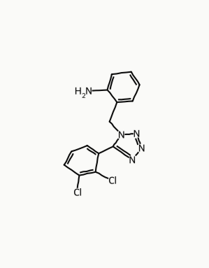 Nc1ccccc1Cn1nnnc1-c1cccc(Cl)c1Cl